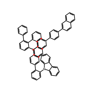 c1ccc(-c2ccccc2-c2c(-c3ccccc3)cccc2N(c2ccc(-c3ccc(-c4ccc5ccccc5c4)cc3)cc2)c2ccc(-c3ccccc3-n3c4ccccc4c4ccccc43)cc2)cc1